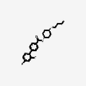 CCCCO[C@H]1CC[C@H](OC(=O)c2ccc(-c3ccc(F)cc3F)cc2)CC1